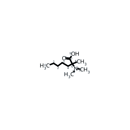 CCCCCC(C)(C(=O)O)N(C)C